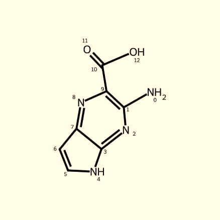 Nc1nc2[nH]ccc2nc1C(=O)O